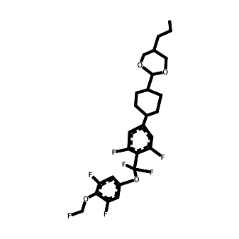 CCCC1COC(C2CCC(c3cc(F)c(C(F)(F)Oc4cc(F)c(OCF)c(F)c4)c(F)c3)CC2)OC1